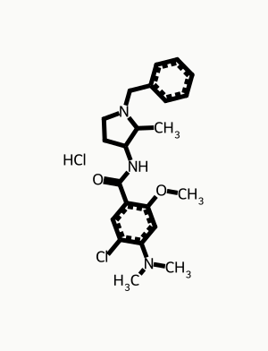 COc1cc(N(C)C)c(Cl)cc1C(=O)NC1CCN(Cc2ccccc2)C1C.Cl